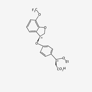 CCO[C@@H](CC(=O)O)c1ccc(O[C@@H]2COc3c(OC(F)(F)F)cccc32)cc1